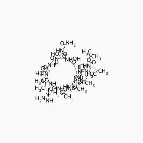 C/C=C(\C)OC(=O)N[C@H](CC(C)C)C(=O)N[C@@H](CC(C)C)C(=O)N[C@@H]1C(=O)N[C@@H]([C@H](O)C(C)C)C(=O)N[C@@H](CC(C)C)C(=O)N[C@H](CCCNC(=N)N)C(=O)N[C@@H]([C@@H](C)CC)C(=O)N[C@@H]([C@H](C)O)C(=O)NCC(=O)N[C@@H]([C@H](O)C(=O)NCC(N)=O)C(=O)N[C@@H](CO)C(=O)C[C@@H]1c1ccccc1